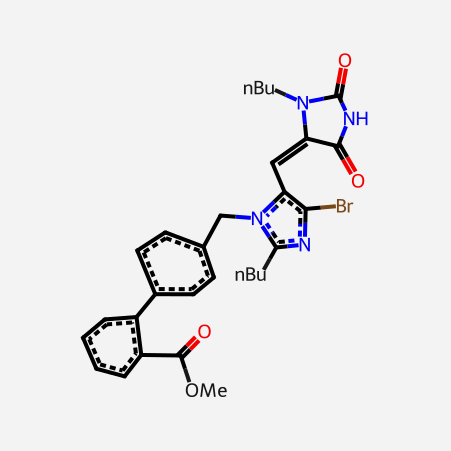 CCCCc1nc(Br)c(C=C2C(=O)NC(=O)N2CCCC)n1Cc1ccc(-c2ccccc2C(=O)OC)cc1